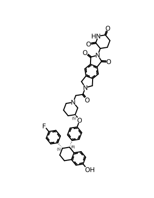 O=C1CCC(N2C(=O)c3cc4c(cc3C2=O)CN(C(=O)CN2CCC[C@H](Oc3ccc([C@@H]5c6ccc(O)cc6CC[C@@H]5c5ccc(F)cc5)cc3)C2)C4)C(=O)N1